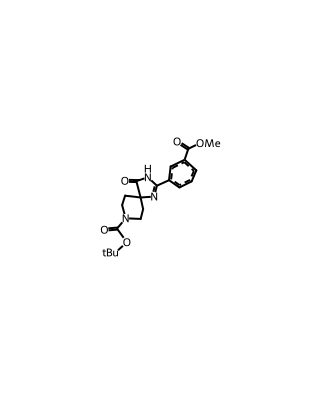 COC(=O)c1cccc(C2=NC3(CCN(C(=O)OC(C)(C)C)CC3)C(=O)N2)c1